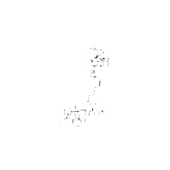 CC(C)(C)OC(=O)N[C@@H](CCCCC/C=C\[C@@H]1C[C@@H]1C(=O)NS(=O)(=O)OC1CC1)C(=O)N1CCC[C@H]1C(N)=O